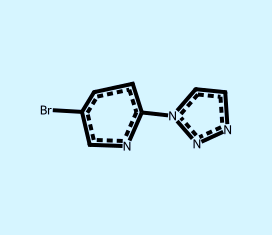 Brc1ccc(-n2ccnn2)nc1